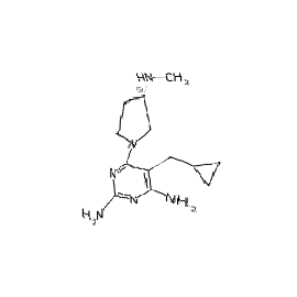 CN[C@H]1CCN(c2nc(N)nc(N)c2CC2CC2)C1